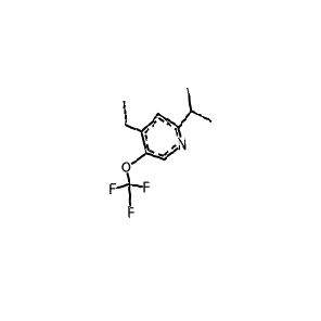 CCc1cc(C(C)C)ncc1OC(F)(F)F